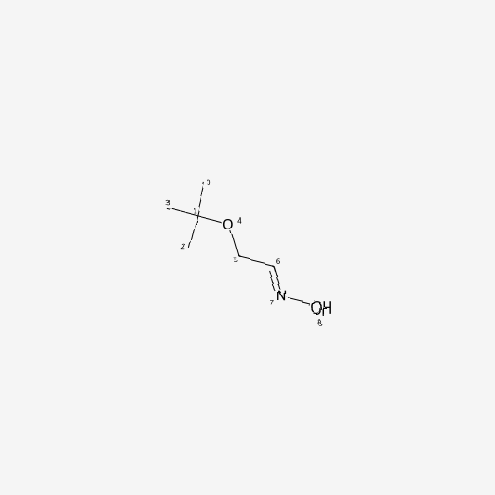 CC(C)(C)OC/C=N/O